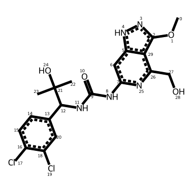 COc1n[nH]c2cc(NC(=O)NC(c3ccc(Cl)c(Cl)c3)C(C)(C)O)nc(CO)c12